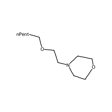 CCCCCCOCCN1CCOCC1